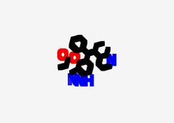 C=CC(=O)Oc1ccccc1/C(=C(\CC)c1cccnc1C)c1ccc2[nH]ncc2c1